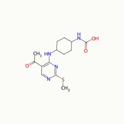 CSc1ncc(C(C)=O)c(NC2CCC(NC(=O)O)CC2)n1